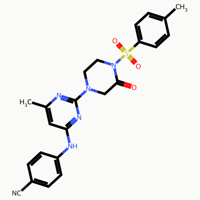 Cc1ccc(S(=O)(=O)N2CCN(c3nc(C)cc(Nc4ccc(C#N)cc4)n3)CC2=O)cc1